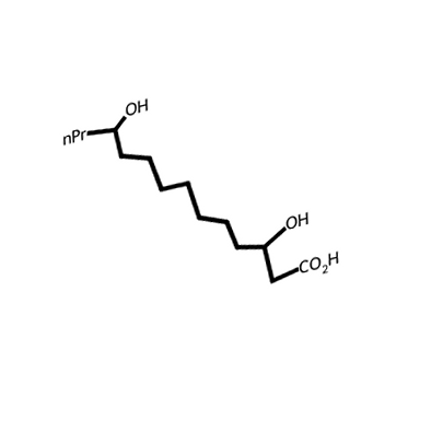 CCCC(O)CCCCCCCC(O)CC(=O)O